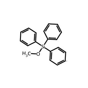 CO[Si](c1cc[c]cc1)(c1ccccc1)c1ccccc1